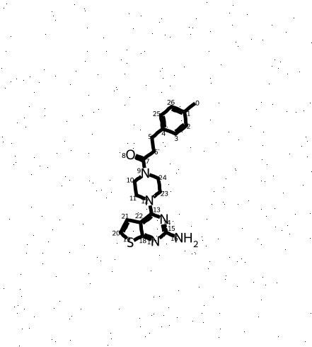 Cc1ccc(CCC(=O)N2CCN(c3nc(N)nc4sccc34)CC2)cc1